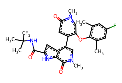 Cc1cc(F)cc(C)c1Oc1cn(C)c(=O)cc1-c1cn(C)c(=O)c2[nH]c(C(=O)NC(C)(C)C(F)(F)F)cc12